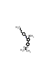 C=C(C)C(=O)Oc1ccc(-c2ccc(OC)c(/C=C/C3CCC(CCCCC)CC3)c2)cc1